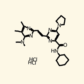 Cc1nc(C=Cc2nc(C(=O)NC3CCCCC3)cc(N3CCCC3)n2)nc(N(C)C)c1C.Cl.Cl